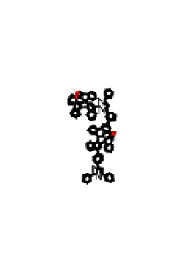 c1ccc(-c2cc(-c3ccc(-c4cc5c(c6ccccc46)-c4c(c6ccc(-c7cccc(-c8cc(-c9ccccc9)nc(-c9cc%10c(c%11ccccc9%11)-c9c(c%11ccccc%11c%11ccccc9%11)C%109c%10ccccc%10-c%10ccccc%109)n8)c7)cc6c6ccccc46)C54c5ccccc5-c5ccccc54)cc3)nc(-c3ccccc3)n2)cc1